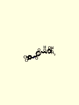 C[C@H]1CCN(CC(O)CCN2CCN(C(=O)/C=C/c3ccc(Cl)c(Cl)c3)CCC2=O)C[C@@H]1O